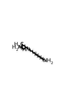 CC1CC(CNCCCCCCCCCCCCN)CCC1N